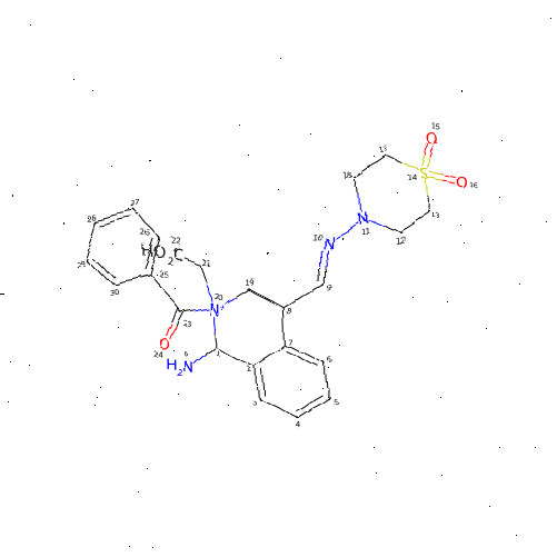 NC1c2ccccc2C(C=NN2CCS(=O)(=O)CC2)C[N+]1(CC(=O)O)C(=O)c1ccccc1